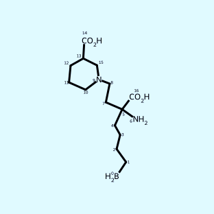 BCCCCC(N)(CCN1CCCC(C(=O)O)C1)C(=O)O